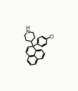 Clc1ccc(C2(C3CCNCC3)C=Cc3cccc4cccc2c34)cc1